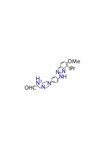 COc1ccc2cnc(Nc3ccc(N4CCN(CC(N)C=O)CC4)cc3)nc2c1C(C)C